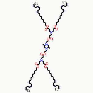 CC/C=C\C/C=C\C/C=C\CCCCCCCCOC(=O)CCN(CCC(=O)OCCCCCCCC/C=C\C/C=C\C/C=C\CC)CCC(=O)OCCN1CC(C)N(CCOC(=O)CCN(CCC(=O)OCCCCCCCC/C=C\C/C=C\C/C=C\CC)CCC(=O)OCCCCCCCC/C=C\C/C=C\C/C=C\CC)CC1C